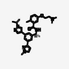 Cc1ccc(OCCN(C)C)cc1C(=O)N[C@H](C)c1cc(-c2cnn(C(C)C)c2)cc(-c2ccn(C)n2)c1